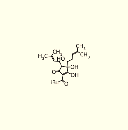 CCC(C)C(=O)C1=C(O)C(O)([C@H](O)CC=C(C)C)[C@H](CC=C(C)C)C1=O